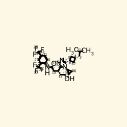 CC(C)C[C@H]1C[C@@H](c2nnc([C@@H](CCO)CC(=O)Nc3ccc(C(F)(F)F)cc3C(F)(F)F)n2C2CC2)C1